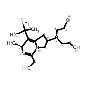 CCC1=N[C@@H](C)C(C(C)(C)C)=C2CC(N(CCO)CCO)CN12